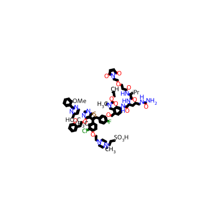 C#CCOC(=O)N(C)Cc1cc(NC(=O)C(CCCNC(N)=O)NC(=O)C(NC(=O)CCOCCN2C(=O)C=CC2=O)C(C)C)ccc1COc1cc(-c2sc3ncnc(O[C@H](Cc4ccccc4OCc4ccnc(-c5ccccc5OC)n4)C(=O)O)c3c2-c2ccc(OCCN3CC[N+](C)(CCCS(=O)(=O)O)CC3)c(Cl)c2C)ccc1F